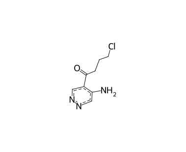 Nc1cnncc1C(=O)CCCCl